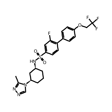 Cc1nncn1[C@@H]1CCC[C@H](NS(=O)(=O)c2ccc(-c3ccc(OCC(F)(F)F)cc3)c(F)c2)C1